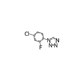 Fc1cc(Cl)ccc1-n1cnnn1